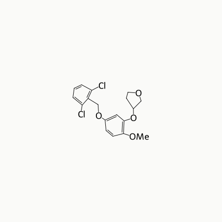 COc1ccc(OCc2c(Cl)cccc2Cl)cc1OC1CCOC1